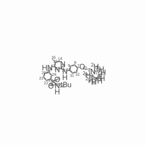 [2H]C1([2H])N(CCOc2ccc(Nc3ncc(C)c(Nc4cccc(S(=O)(=O)NC(C)(C)C)c4)n3)cc2)C([2H])([2H])C([2H])([2H])C1([2H])[2H]